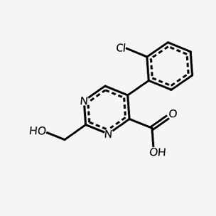 O=C(O)c1nc(CO)ncc1-c1ccccc1Cl